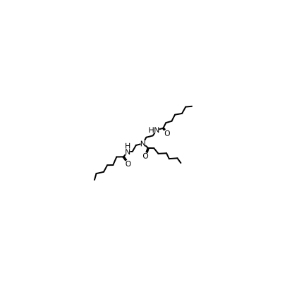 CCCCCCC(=O)NCCN(CCNC(=O)CCCCCC)C(=O)CCCCCC